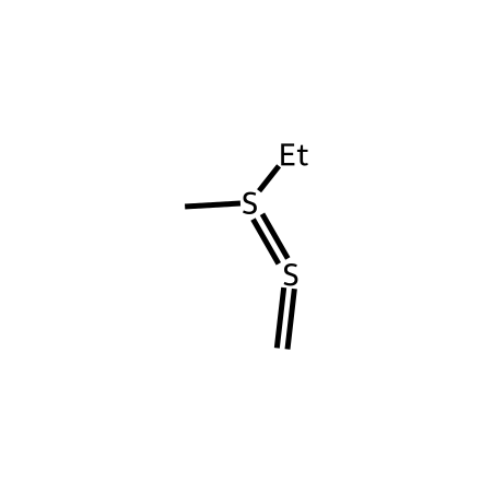 C=S=S(C)CC